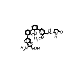 COc1nc(-c2cccc(-c3cccc(-c4cnc5c(N)c(CO)sc5c4)c3Cl)c2Cl)ccc1CNC[C@@H]1CCC(=O)N1